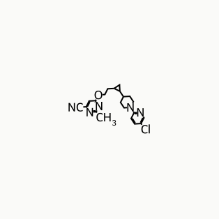 Cc1nc(C#N)cc(OCCC2CC2C2CCN(c3ccc(Cl)cn3)CC2)n1